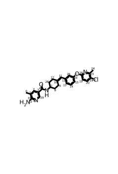 Cc1cc(C(=O)NC2CCC(=Cc3cccc(Oc4ccc(Cl)c(C)n4)c3)CC2)cnc1N